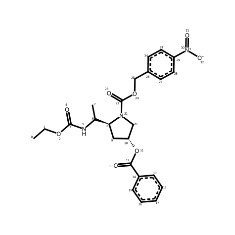 CCOC(=O)NC(C)[C@@H]1C[C@@H](OC(=O)c2ccccc2)CN1C(=O)OCc1ccc([N+](=O)[O-])cc1